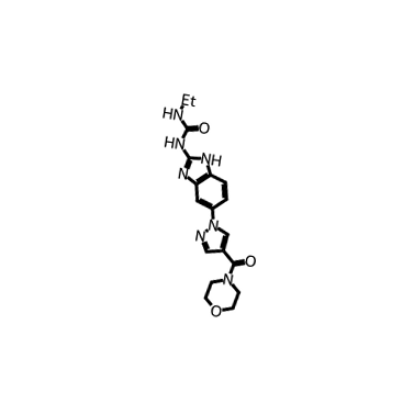 CCNC(=O)Nc1nc2cc(-n3cc(C(=O)N4CCOCC4)cn3)ccc2[nH]1